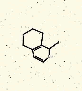 IC1NC=CC2=C1CCCC2